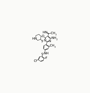 CC(=N)c1c(N)nc(-c2ccc(NSc3cc(Cl)ccc3F)cc2C)nc1OC1CCNCC1F